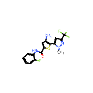 Cn1nc(C(F)(F)F)cc1-c1sc(C(=O)Nc2ccccc2F)cc1N